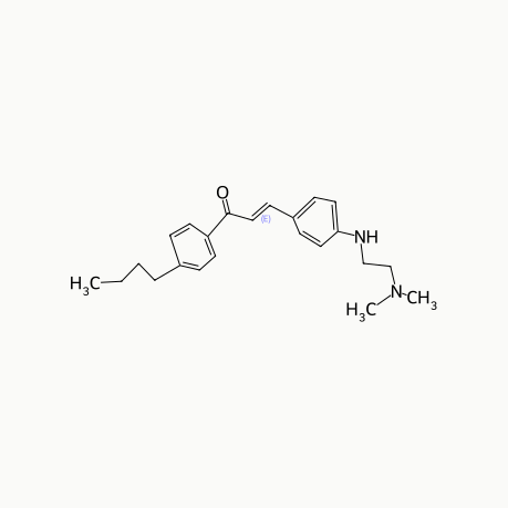 CCCCc1ccc(C(=O)/C=C/c2ccc(NCCN(C)C)cc2)cc1